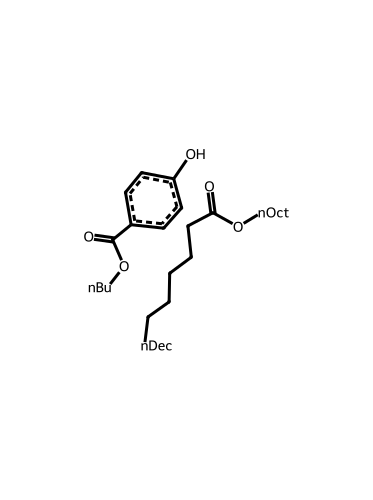 CCCCCCCCCCCCCCCC(=O)OCCCCCCCC.CCCCOC(=O)c1ccc(O)cc1